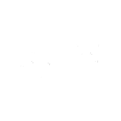 CN(C)C(=O)c1cccc(-c2csc(N(C)C)n2)c1